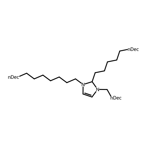 CCCCCCCCCCCCCCCCCN1C=CN(CCCCCCCCCCC)C1CCCCCCCCCCCCCCC